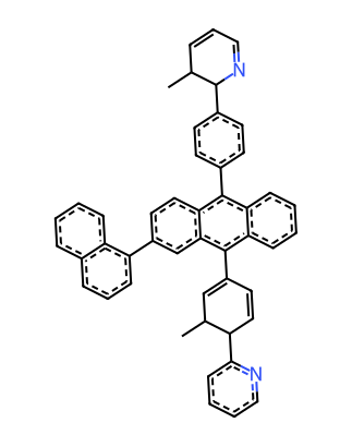 CC1C=C(c2c3ccccc3c(-c3ccc(C4N=CC=CC4C)cc3)c3ccc(-c4cccc5ccccc45)cc23)C=CC1c1ccccn1